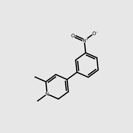 CC1=CC(c2cccc([N+](=O)[O-])c2)=CCN1C